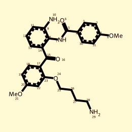 COc1ccc(C(=O)Nc2c(N)cccc2C(=O)c2ccc(OC)cc2OCCCCN)cc1